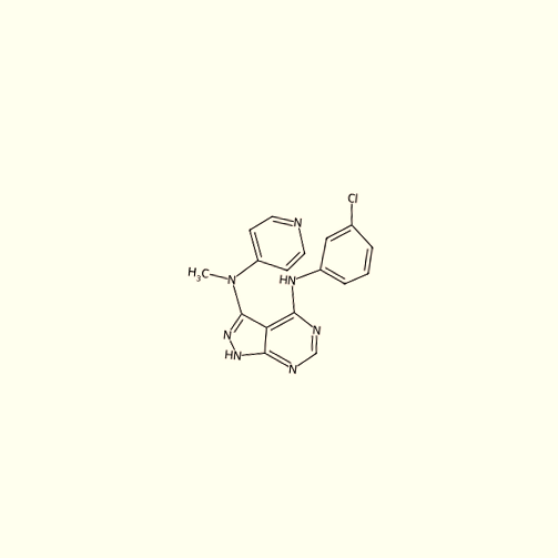 CN(c1ccncc1)c1n[nH]c2ncnc(Nc3cccc(Cl)c3)c12